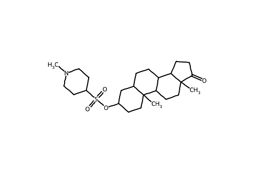 CN1CCC(S(=O)(=O)OC2CCC3(C)C(CCC4C5CCC(=O)C5(C)CCC43)C2)CC1